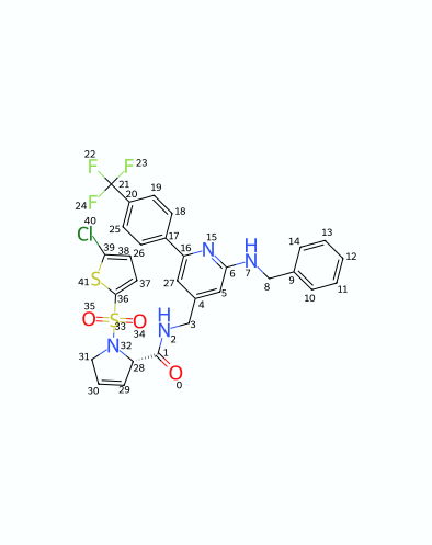 O=C(NCc1cc(NCc2ccccc2)nc(-c2ccc(C(F)(F)F)cc2)c1)[C@@H]1C=CCN1S(=O)(=O)c1ccc(Cl)s1